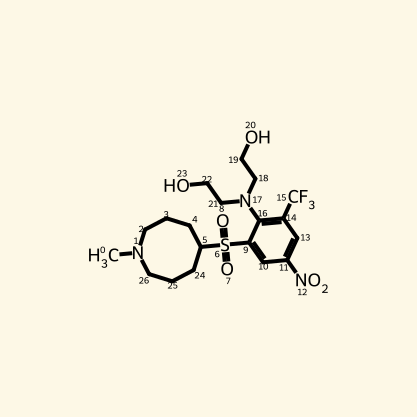 CN1CCCC(S(=O)(=O)c2cc([N+](=O)[O-])cc(C(F)(F)F)c2N(CCO)CCO)CCC1